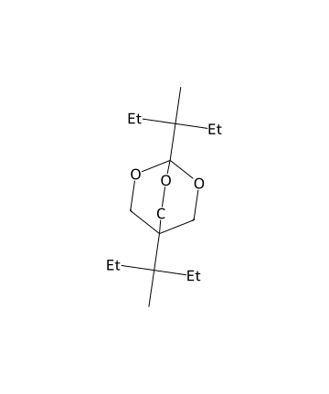 CCC(C)(CC)C12COC(C(C)(CC)CC)(OC1)OC2